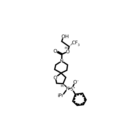 CC(C)N([C@H]1COC2(CCN(C(=O)O[C@H](CO)C(F)(F)F)CC2)C1)[S+]([O-])c1ccccc1